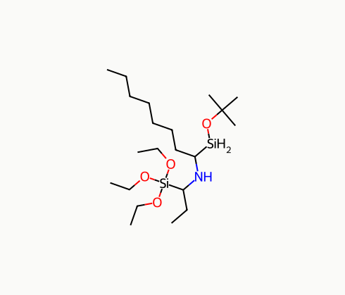 CCCCCCCC(NC(CC)[Si](OCC)(OCC)OCC)[SiH2]OC(C)(C)C